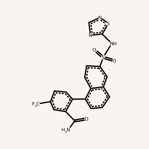 NC(=O)c1cc(C(F)(F)F)ccc1-c1cccc2cc(S(=O)(=O)Nc3ncns3)ccc12